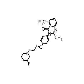 Cc1nc2cccc(C(F)(F)F)c2c(=O)n1-c1ccc(OCCCN2CCCC(F)C2)cc1